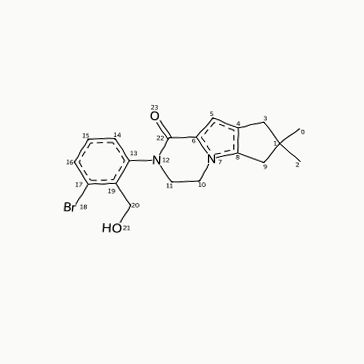 CC1(C)Cc2cc3n(c2C1)CCN(c1cccc(Br)c1CO)C3=O